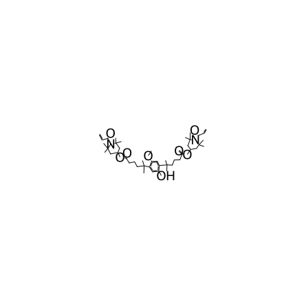 C=CC(=O)N1C(C)(C)CC(OC(=O)CCCC(C)(C)c2cc(OC)c(C(C)(C)CCCC(=O)OC3CC(C)(C)N(C(=O)C=C)C(C)(C)C3)cc2O)CC1(C)C